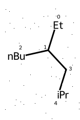 [CH2]CC(CCCC)CC(C)C